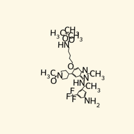 CC(=O)N1CCC(c2cc3c(NC(C)c4cc(N)cc(C(F)(F)F)c4)nc(C)nc3cc2OCCCCCNC(=O)OC(C)(C)C)CC1